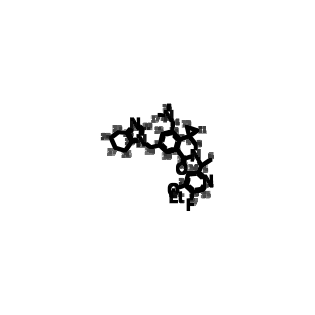 CCOc1cc(C(C)N2CC3(CC3)c3c(CN(C)C)cc(Cn4cnc5c4CCCC5)cc3C2=O)ncc1F